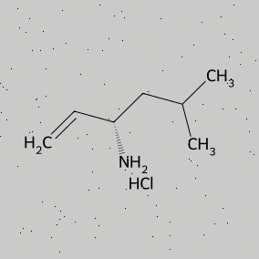 C=C[C@@H](N)CC(C)C.Cl